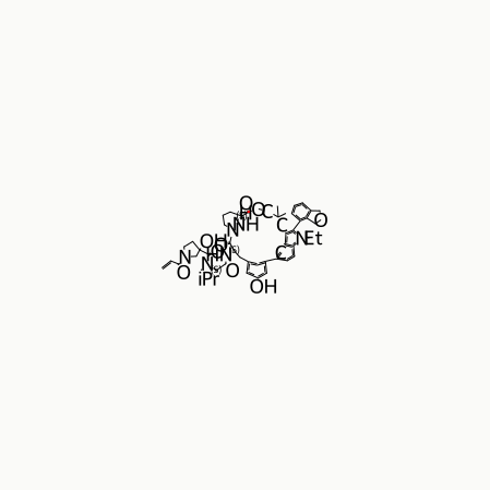 C=CC(=O)N1CCC(O)(C(=O)N(C)[C@H](C(=O)N[C@H]2Cc3cc(O)cc(c3)-c3ccc4c(c3)c(c(-c3cccc5c3COC5)n4CC)CC(C)(C)COC(=O)[C@@H]3CCCN(N3)C2=O)C(C)C)C1